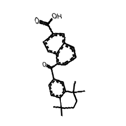 CC1(C)CCC(C)(C)c2cc(C(=O)c3cccc4cc(C(=O)O)ccc34)ccc21